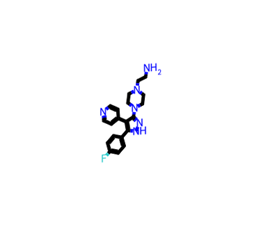 NCCN1CCN(c2n[nH]c(-c3ccc(F)cc3)c2-c2ccncc2)CC1